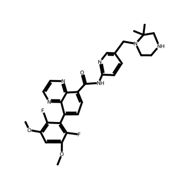 COc1cc(OC)c(F)c(-c2ccc(C(=O)Nc3ccc(CN4CCNCC4(C)C)cn3)c3nccnc23)c1F